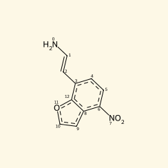 NC=Cc1ccc([N+](=O)[O-])c2ccoc12